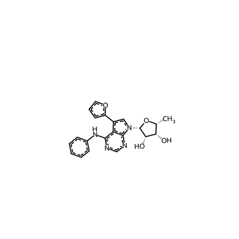 C[C@H]1O[C@@H](n2cc(-c3ccco3)c3c(Nc4ccccc4)ncnc32)[C@@H](O)[C@H]1O